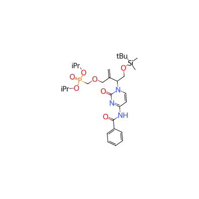 C=C(COCP(=O)(OC(C)C)OC(C)C)C(CO[Si](C)(C)C(C)(C)C)n1ccc(NC(=O)c2ccccc2)nc1=O